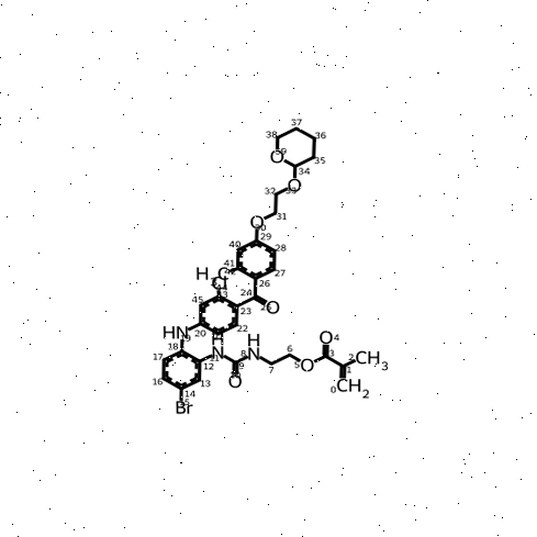 C=C(C)C(=O)OCCNC(=O)Nc1cc(Br)ccc1Nc1ccc(C(=O)c2ccc(OCCOC3CCCCO3)cc2C)c(Cl)c1